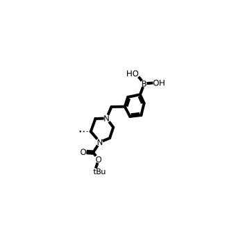 C[C@@H]1CN(Cc2cccc(B(O)O)c2)CCN1C(=O)OC(C)(C)C